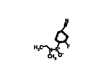 CCN(C)[S+]([O-])c1ccc(C#N)cc1F